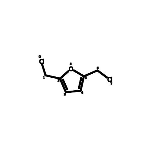 ClCc1ccc(CCl)o1